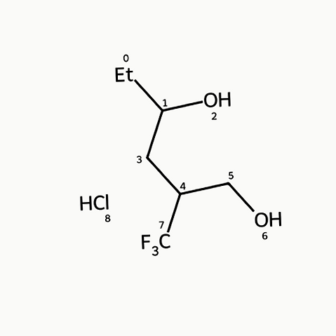 CCC(O)CC(CO)C(F)(F)F.Cl